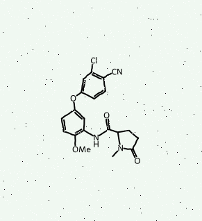 COc1ccc(Oc2ccc(C#N)c(Cl)c2)cc1NC(=O)C1CCC(=O)N1C